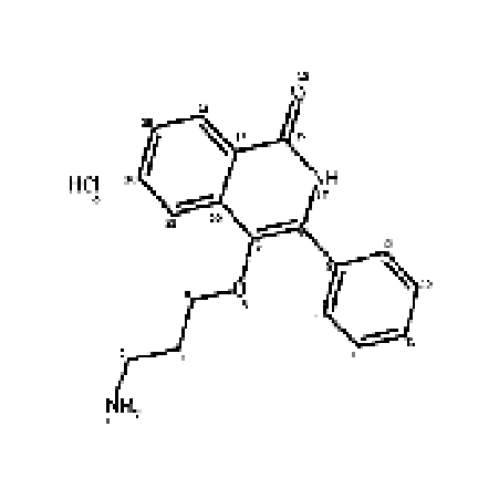 Cl.NCCCOc1c(-c2ccccc2)[nH]c(=O)c2ccccc12